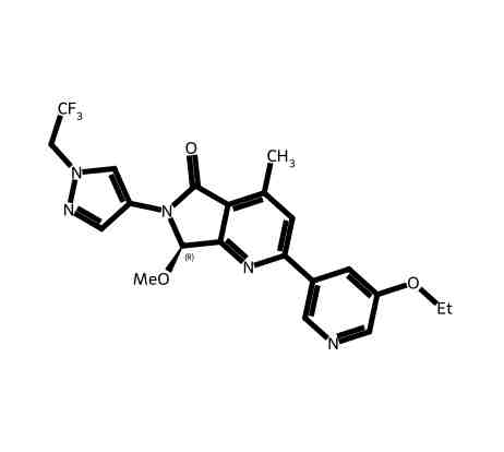 CCOc1cncc(-c2cc(C)c3c(n2)[C@@H](OC)N(c2cnn(CC(F)(F)F)c2)C3=O)c1